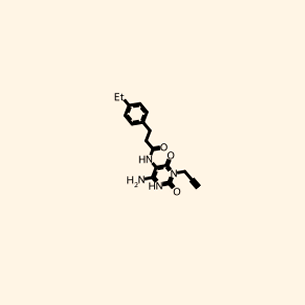 C#CCn1c(=O)[nH]c(N)c(NC(=O)CCc2ccc(CC)cc2)c1=O